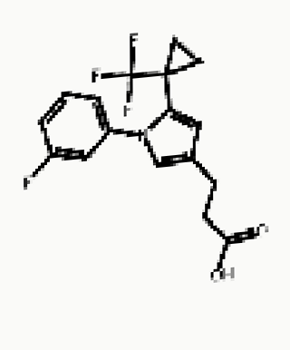 O=C(O)CCc1cc(C2(C(F)(F)F)CC2)n(-c2cccc(F)c2)c1